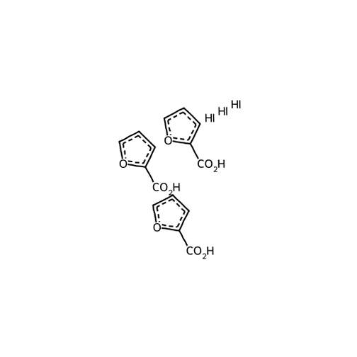 I.I.I.O=C(O)c1ccco1.O=C(O)c1ccco1.O=C(O)c1ccco1